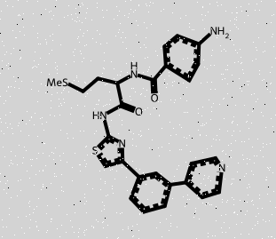 CSCCC(NC(=O)c1ccc(N)cc1)C(=O)Nc1nc(-c2cccc(-c3ccncc3)c2)cs1